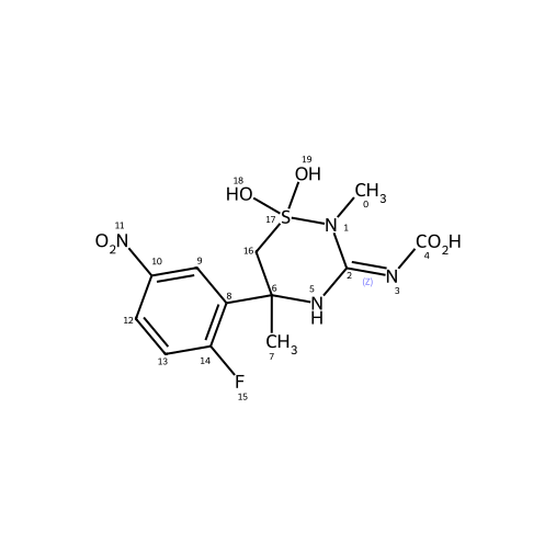 CN1/C(=N\C(=O)O)NC(C)(c2cc([N+](=O)[O-])ccc2F)CS1(O)O